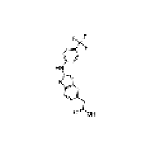 O=C(O)Cc1ccc2nc(Nc3ccc(C(F)(F)F)cc3)oc2c1